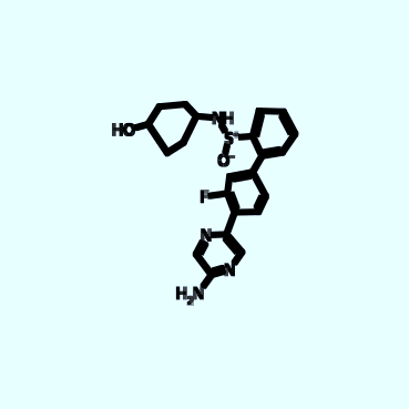 Nc1cnc(-c2ccc(-c3ccccc3[S+]([O-])NC3CCC(O)CC3)cc2F)cn1